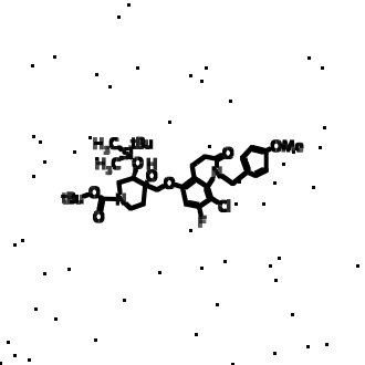 COc1ccc(CN2C(=O)CCc3c(OC[C@]4(O)CCN(C(=O)OC(C)(C)C)C[C@H]4O[Si](C)(C)C(C)(C)C)cc(F)c(Cl)c32)cc1